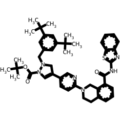 CC(C)(C)OC(=O)N1C=C(c2ccc(N3CCc4cccc(C(=O)Nc5nc6ccccc6s5)c4C3)nc2)CN1Cc1cc(C(C)(C)C)cc(C(C)(C)C)c1